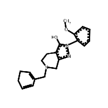 COc1ccccc1-n1nc2c(c1O)CCN(CC1=CCCC=C1)C2